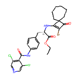 CCOC(=O)[C@H](Cc1ccc(NC(=O)c2c(Cl)cncc2Cl)cc1)NC1=C(Br)C(=O)C12CCCCCC2